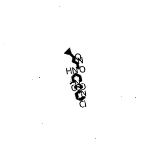 C[C@H]1C[C@@H](NC(=O)c2cc(C3CC3)on2)CCN1S(=O)(=O)c1ccc(Cl)cn1